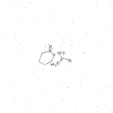 C1CC[SiH2]OC1.C=C(C#N)C(=O)O